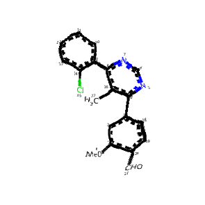 COc1cc(-c2ncnc(-c3cc[c]cc3Cl)c2C)ccc1C=O